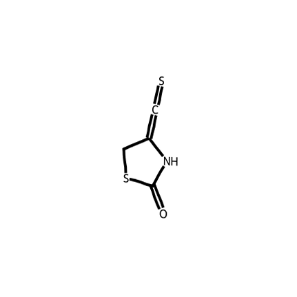 O=C1NC(=C=S)CS1